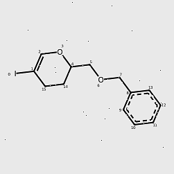 IC1=COC(COCc2ccccc2)CC1